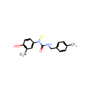 O=C(NCc1ccc(C(F)(F)F)cc1)N(S)c1ccc(O)c([N+](=O)[O-])c1